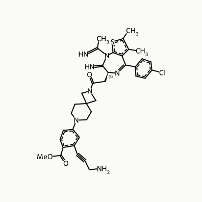 COC(=O)c1ccc(N2CCC3(CC2)CN(C(=O)C[C@@H]2N=C(c4ccc(Cl)cc4)c4c(sc(C)c4C)N(C(C)=N)C2=N)C3)cc1C#CCN